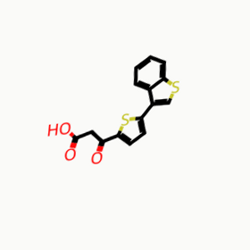 O=C(O)CC(=O)c1ccc(-c2csc3ccccc23)s1